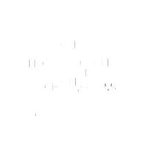 CC(C)(C)C.CC[O-].CC[O-].[Mg+2]